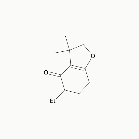 CCC1CCC2=C(C1=O)C(C)(C)CO2